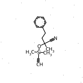 C#C[Si](C)(C)OC(C)(C#N)CCc1ccccc1